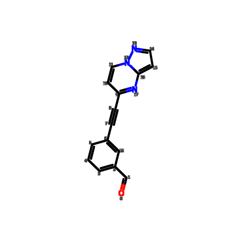 O=Cc1cccc(C#Cc2ccn3nccc3n2)c1